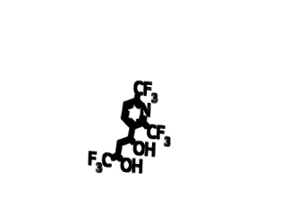 OC(CC(O)C(F)(F)F)c1ccc(C(F)(F)F)nc1C(F)(F)F